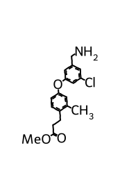 COC(=O)CCc1ccc(Oc2cc(Cl)cc(CN)c2)cc1C